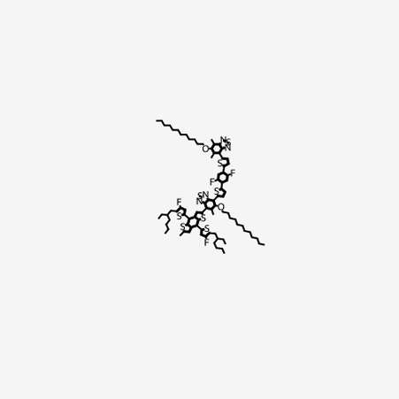 CCCCCCCCCCCCOc1c(C)c(-c2ccc(-c3cc(F)c(-c4ccc(-c5c(OCCCCCCCCCCCC)c(C)c(-c6cc7c(-c8cc(F)c(CC(CC)CCCC)s8)c8sc(C)cc8c(-c8cc(F)c(CC(CC)CCCC)s8)c7s6)c6nsnc56)s4)cc3F)s2)c2nsnc2c1C